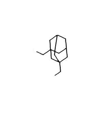 O=[C]CC12CC3CC(C1)CC(C[C]=O)(C3)C2